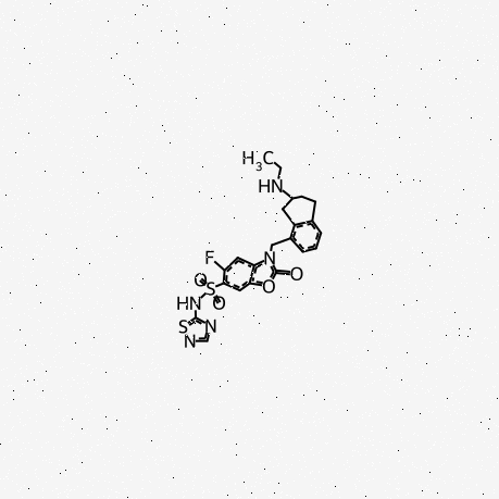 CCNC1CCc2cccc(Cn3c(=O)oc4cc(S(=O)(=O)Nc5ncns5)c(F)cc43)c2C1